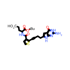 CCC(C)OC(=O)C(CCC(=O)O)NC(=O)c1ccsc1C#CCCc1cc2c(=O)[nH]c(N)nc2[nH]1